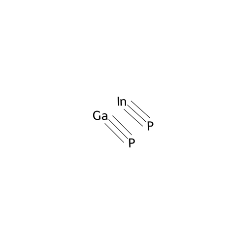 [P]#[Ga].[P]#[In]